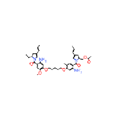 C/C=C/C1=CN(C(=O)c2cc(OC)c(OCCCCCOc3cc(N)c(C(=O)N4C=C(/C=C/C)CC4COC(C)=O)cc3C)cc2N)C(CC)C1